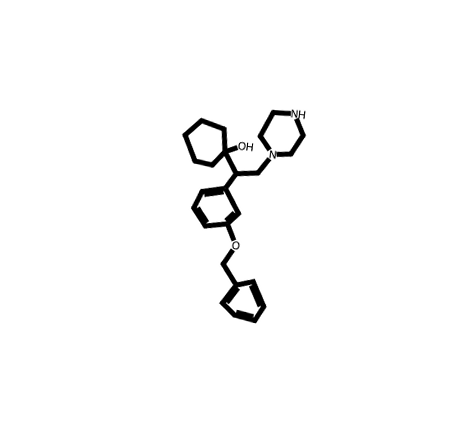 OC1(C(CN2CCNCC2)c2cccc(OCc3ccccc3)c2)CCCCC1